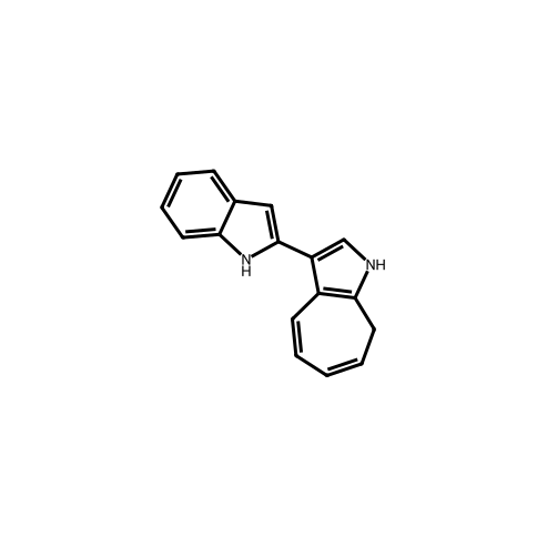 C1=CCc2[nH]cc(-c3cc4ccccc4[nH]3)c2C=C1